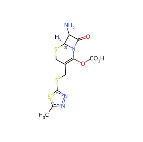 Cc1nnc(SCC2=C(OC(=O)O)N3C(=O)C(N)[C@@H]3SC2)s1